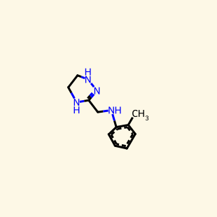 Cc1ccccc1NCC1=NNCCN1